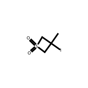 CC1(I)CS(=O)(=O)C1